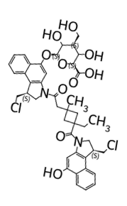 CCC1(C(=O)N2C[C@@H](CCl)c3c2cc(O)c2ccccc32)CC(C)(CC(=O)N2C[C@@H](CCl)c3c2cc(O[C@@H]2O[C@H](C(=O)O)C(O)[C@H](CO)C2O)c2ccccc32)C1